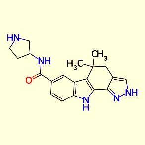 CC1(C)Cc2c[nH]nc2-c2[nH]c3ccc(C(=O)NC4CCNC4)cc3c21